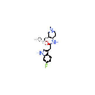 CN1CC[C@@H](NC(=O)Cc2c[nH]c3cc(F)ccc23)[C@@H](C(=O)O)C1